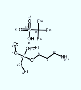 CCO[Si](OCC)(OCC)OCCCN.O=S(=O)(O)C(F)(F)F